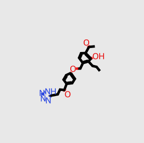 CCCc1c(COc2ccc(C(=O)CCc3nnn[nH]3)cc2)ccc(C(C)=O)c1O